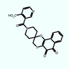 O=C1C(=O)c2ccccc2C2=C1SCC1(CCN(C(=O)c3cnccc3C(=O)O)CC1)O2